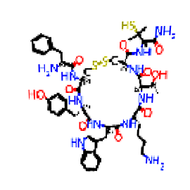 C[C@@H](O)[C@@H]1NC(=O)[C@H](CCCCN)NC(=O)[C@@H](Cc2c[nH]c3ccccc23)NC(=O)[C@H](Cc2ccc(O)cc2)NC(=O)[C@@H](NC(=O)[C@H](N)Cc2ccccc2)CSSC[C@@H](C(=O)N[C@H](C(N)=O)C(C)(C)S)NC1=O